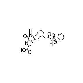 O=C(Cc1cccc2c1Cc1c-2[nH]c(=O)c2nc(C(=O)O)cn12)NS(=O)(=O)c1ccccc1